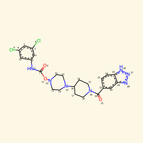 O=C(Nc1cc(Cl)cc(Cl)c1)ON1CCN(C2CCN(C(=O)c3ccc4[nH]nnc4c3)CC2)CC1